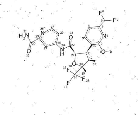 COc1nc(C(F)F)ccc1[C@H]1[C@@H](C)[C@](C)(C(F)(F)F)O[C@H]1C(=O)Nc1ccnc(C(N)=O)c1